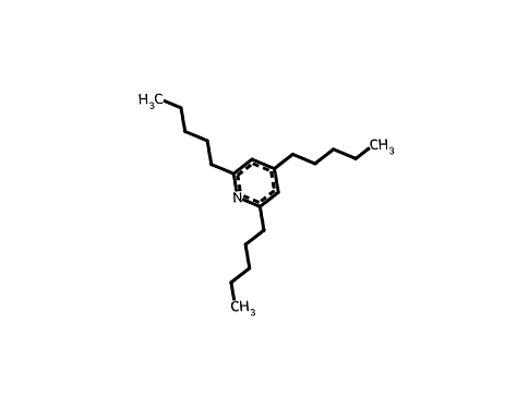 CCCCCc1cc(CCCCC)nc(CCCCC)c1